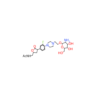 CC(=O)NCC1CC(c2ccc(N3CCN(CCOC4OC(CO)C(O)C(O)C4N)CC3)c(F)c2)C(=O)O1